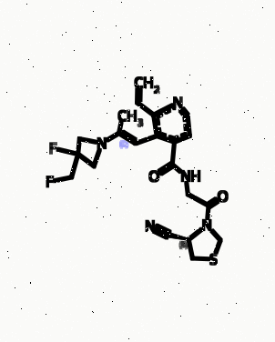 C=Cc1nccc(C(=O)NCC(=O)N2CSC[C@H]2C#N)c1/C=C(\C)N1CC(F)(CF)C1